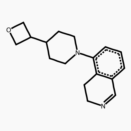 C1=NCCc2c1cccc2N1CCC(C2COC2)CC1